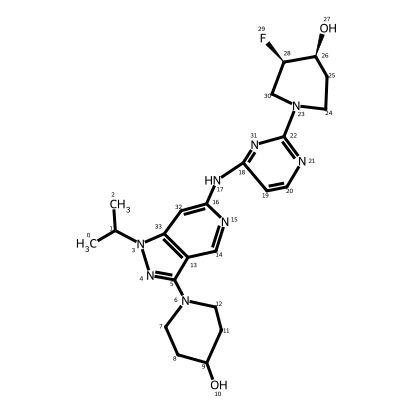 CC(C)n1nc(N2CCC(O)CC2)c2cnc(Nc3ccnc(N4CC[C@H](O)[C@H](F)C4)n3)cc21